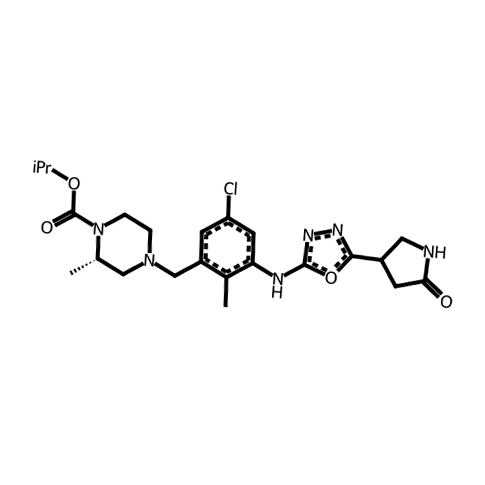 Cc1c(CN2CCN(C(=O)OC(C)C)[C@@H](C)C2)cc(Cl)cc1Nc1nnc(C2CNC(=O)C2)o1